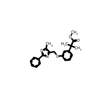 COC(=O)C(C)(C)c1cccc(OCc2nc(-c3ccccc3)oc2C)c1